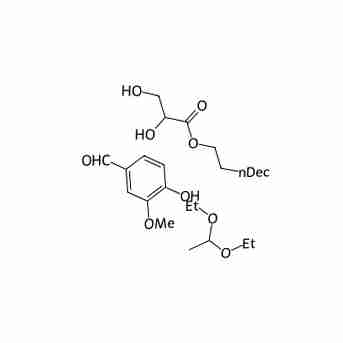 CCCCCCCCCCCCOC(=O)C(O)CO.CCOC(C)OCC.COc1cc(C=O)ccc1O